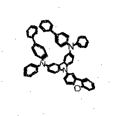 c1ccc(-c2ccc(N(c3ccccc3)c3ccc4c(c3)c3cc(N(c5ccccc5)c5ccc(-c6ccccc6)cc5)ccc3n4-c3ccc4oc5ccccc5c4c3)cc2)cc1